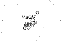 COc1cc2c(Nc3cccc4c3OCO4)ncnc2cc1OC[C@H]1CO1